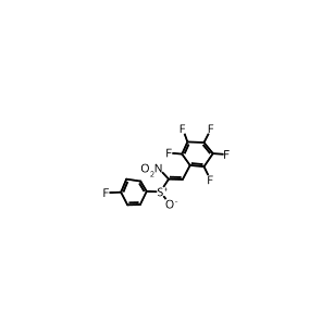 O=[N+]([O-])C(=Cc1c(F)c(F)c(F)c(F)c1F)[S+]([O-])c1ccc(F)cc1